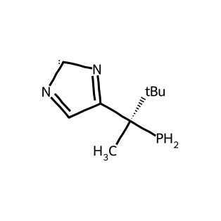 CC(C)(C)[C@@](C)(P)C1=N[C]N=C1